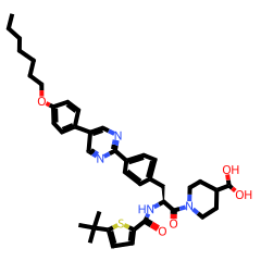 CCCCCCCOc1ccc(-c2cnc(-c3ccc(C[C@H](NC(=O)c4ccc(C(C)(C)C)s4)C(=O)N4CCC(C(O)O)CC4)cc3)nc2)cc1